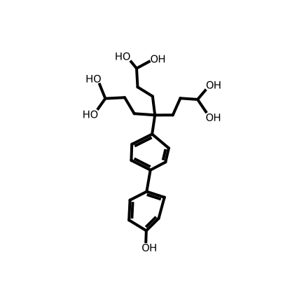 Oc1ccc(-c2ccc(C(CCC(O)O)(CCC(O)O)CCC(O)O)cc2)cc1